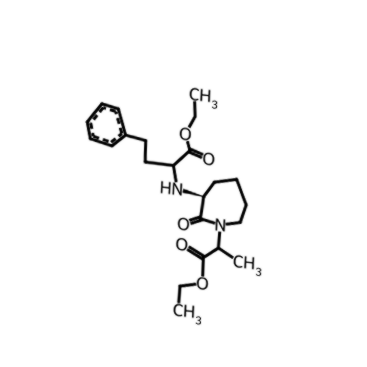 CCOC(=O)C(CCc1ccccc1)N[C@H]1CCCCN(C(C)C(=O)OCC)C1=O